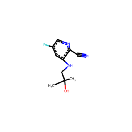 CC(C)(O)CNc1cc(F)cnc1C#N